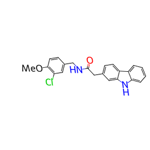 COc1ccc(CNC(=O)Cc2ccc3c(c2)[nH]c2ccccc23)cc1Cl